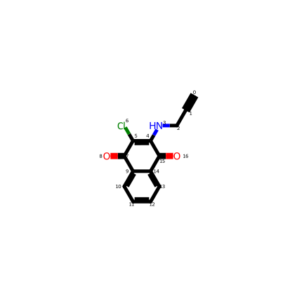 C#CCNC1=C(Cl)C(=O)c2ccccc2C1=O